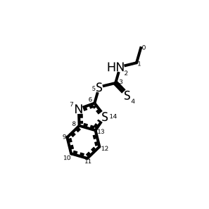 CCNC(=S)Sc1nc2ccccc2s1